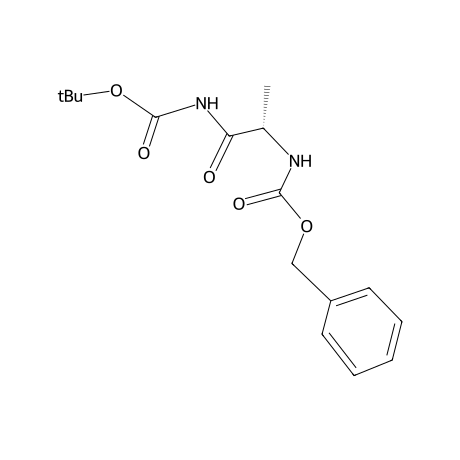 C[C@H](NC(=O)OCc1ccccc1)C(=O)NC(=O)OC(C)(C)C